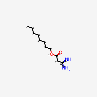 CCCCCCCCOC(=O)CC(=N)N